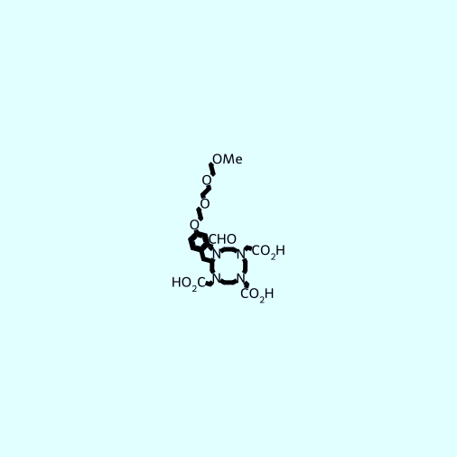 COCCOCCOCCOc1ccc(CC2CN(CC(=O)O)CCN(CC(=O)O)CCN(CC(=O)O)CCN2CC=O)cc1